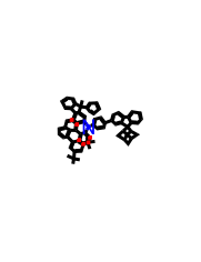 CC(C)(C)c1cc(-c2cccc3cccc(-c4ccccc4N(c4ccc(-c5ccc6c(c5)C5(c7ccccc7-6)C6CC7CC8CC5C786)cc4)c4ccc5c(c4)C(C)(c4ccccc4)c4ccccc4-5)c23)cc(C(C)(C)C)c1